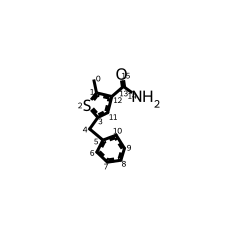 Cc1sc(Cc2ccccc2)cc1C(N)=O